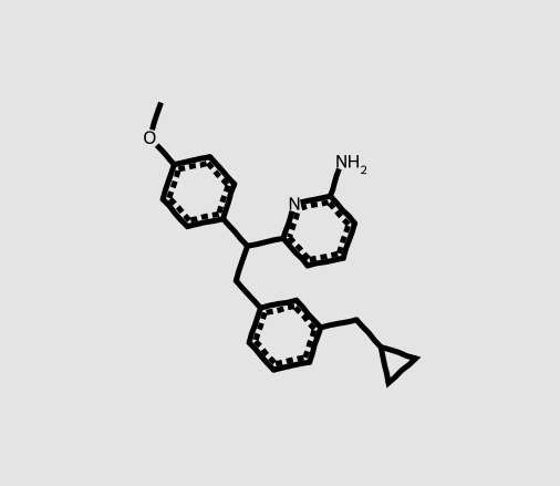 COc1ccc(C(Cc2cccc(CC3CC3)c2)c2cccc(N)n2)cc1